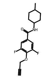 C#CCOc1c(F)cc(C(=O)NC2CCC(C)CC2)cc1F